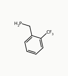 FC(F)(F)c1ccccc1CP